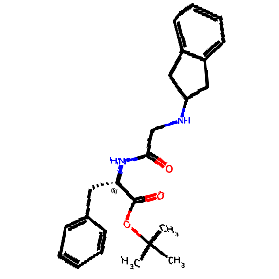 CC(C)(C)OC(=O)[C@H](Cc1ccccc1)NC(=O)CNC1Cc2ccccc2C1